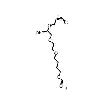 C=COCCCCOCCOCC(CCC)OC/C=C\CC